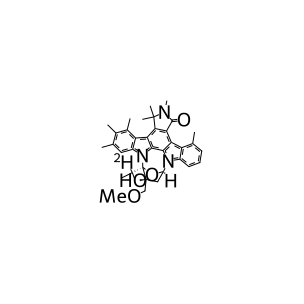 [2H]C(C)(C)[C@]12O[C@H](C[C@]1(O)COC)n1c3cccc(C)c3c3c4c(c5c6c(C)c(C)c(C)cc6n2c5c31)C(C)(C)N(C)C4=O